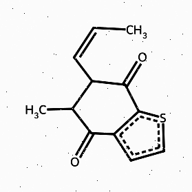 C/C=C\C1C(=O)c2sccc2C(=O)C1C